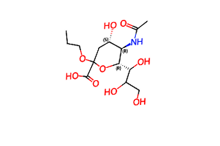 CCCOC1(C(=O)O)C[C@H](O)[C@@H](NC(C)=O)[C@H](C(O)C(O)CO)O1